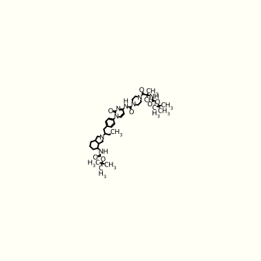 CCC(Cc1ccc(-n2ccc(NC(=O)N3CCN(C(=O)C(C)(C)NC(=O)OC(C)(C)C)CC3)nc2=O)cc1)N1CC2CCCC(NC(=O)OC(C)(C)C)C2C1